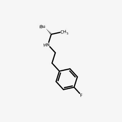 CC[C@@H](C)C(C)NCCc1ccc(F)cc1